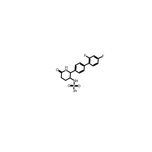 CC(C)S(=O)(=O)NC1CCC(=O)NC1c1ccc(-c2ccc(F)cc2F)cc1